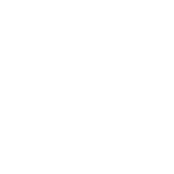 C=C\C=C/C=C/C=c1/scc/c1=C\C